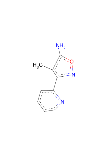 Cc1c(-c2ccccn2)noc1N